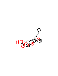 CC(O)(CCCCC[C@H]1C(=O)C[C@@H](O[Si](C)(C)C)[C@@H]1C=CCCC1CCCC1)C(=O)OO[Si](C)(C)C